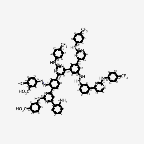 Nc1ccccc1-c1cc(-c2ccc(-c3cc(-c4cc(NNc5cccc(-c6ccnc(Nc7ccc(C(F)(F)F)cc7)n6)c5)cc(-c5ccnc(Nc6ccc(C(F)(F)F)cc6)n5)c4)nc(Nc4ccc(C(F)(F)F)cc4)n3)cc2/N=N/c2ccc(O)c(C(=O)O)c2)nc(Nc2cccc(C(=O)O)c2)n1